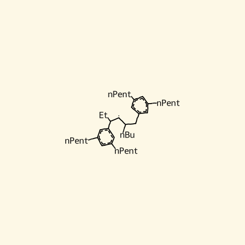 CCCCCc1cc(CCCCC)cc(CC([CH]C(CC)c2cc(CCCCC)cc(CCCCC)c2)CCCC)c1